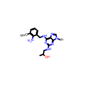 COc1cccc(CNc2nc(NCC(C)O)nc3c2ncn3C(C)C)c1N